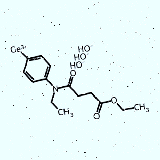 CCOC(=O)CCC(=O)N(CC)c1cc[c]([Ge+3])cc1.[OH-].[OH-].[OH-]